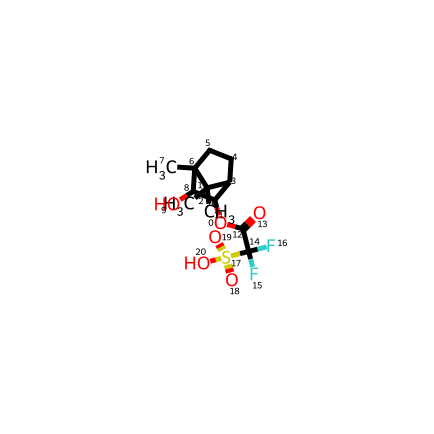 CC1(C)C2CCC1(C)C(O)C2OC(=O)C(F)(F)S(=O)(=O)O